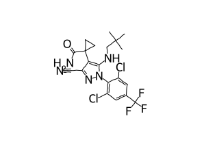 CC(C)(C)CNc1c(C2(C(N)=O)CC2)c(C#N)nn1-c1c(Cl)cc(C(F)(F)F)cc1Cl